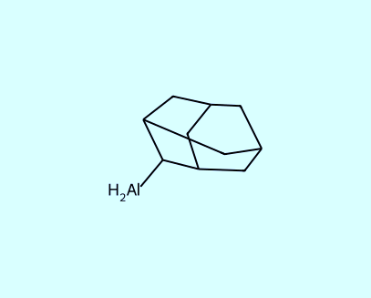 [AlH2][CH]1C2CC3CC(C2)CC1C3